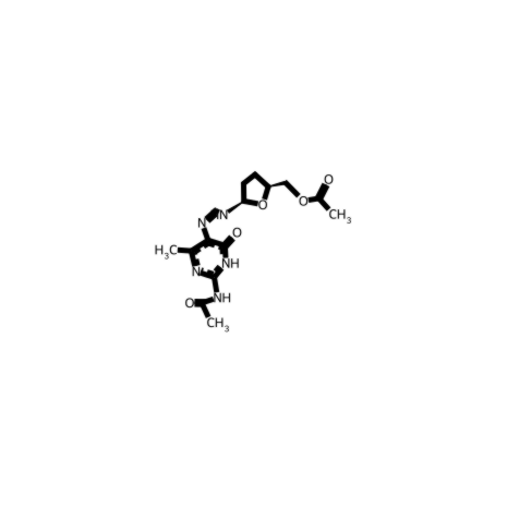 CC(=O)Nc1nc(C)c(/N=C\N[C@H]2CC[C@@H](COC(C)=O)O2)c(=O)[nH]1